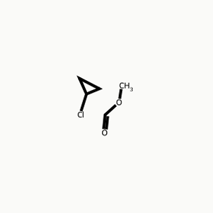 COC=O.ClC1CC1